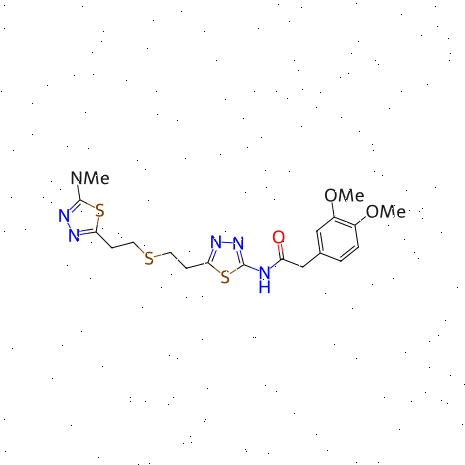 CNc1nnc(CCSCCc2nnc(NC(=O)Cc3ccc(OC)c(OC)c3)s2)s1